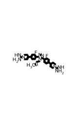 COCCn1c(-c2ccc(C3=CCN(C(=N)N)CC3)cc2F)nnc1-c1ccc(C2=CCN(C(=N)N)CC2)cc1F